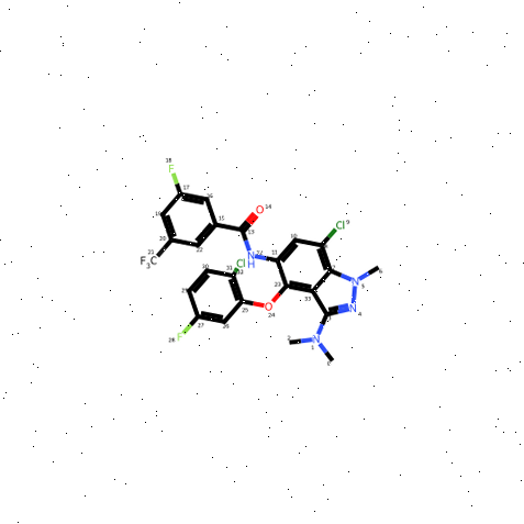 CN(C)c1nn(C)c2c(Cl)cc(NC(=O)c3cc(F)cc(C(F)(F)F)c3)c(Oc3cc(F)ccc3Cl)c12